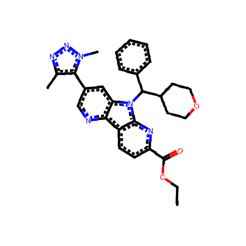 CCOC(=O)c1ccc2c3ncc(-c4c(C)nnn4C)cc3n(C(c3ccccc3)C3CCOCC3)c2n1